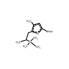 CCCC(C)c1cc(C)c(CC(C)S(C)(C)C)s1